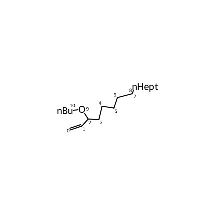 C=CC(CCCCCCCCCCCC)OCCCC